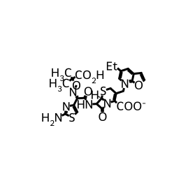 CCc1cc2ccoc2[n+](CC2=C(C(=O)[O-])N3C(=O)C(NC(=O)/C(=N\OC(C)(C)C(=O)O)c4csc(N)n4)[C@H]3SC2)c1